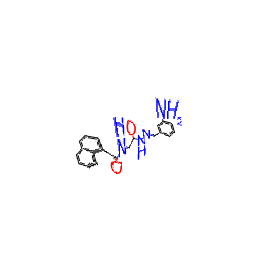 Nc1cccc(/C=N/NC(=O)CNC(=O)c2cccc3ccccc23)c1